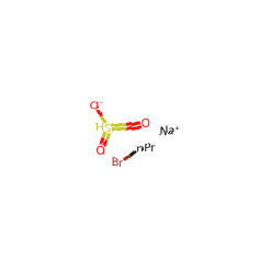 CCCBr.O=[SH](=O)[O-].[Na+]